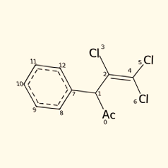 CC(=O)C(C(Cl)=C(Cl)Cl)c1ccccc1